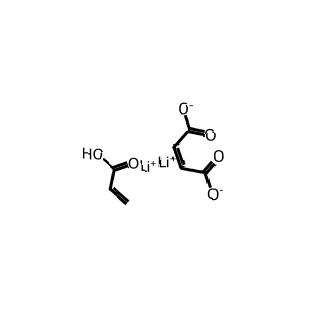 C=CC(=O)O.O=C([O-])/C=C\C(=O)[O-].[Li+].[Li+]